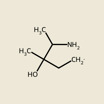 [CH2]CC(C)(O)C(C)N